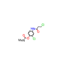 CNC(=O)Oc1ccc(NC(=O)CCCl)cc1Cl